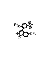 CCOc1ccc(S(C)(=O)=O)cc1-c1cn(C)c(=O)c2ccc(C(F)(F)F)cc12